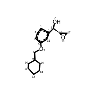 OC(c1cccc(OCC2CCCCC2)c1)[C@H]1CO1